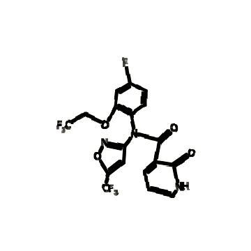 O=C(c1ccc[nH]c1=O)N(c1cc(C(F)(F)F)on1)c1ccc(F)cc1OCC(F)(F)F